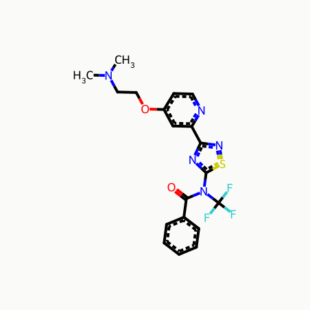 CN(C)CCOc1ccnc(-c2nsc(N(C(=O)c3ccccc3)C(F)(F)F)n2)c1